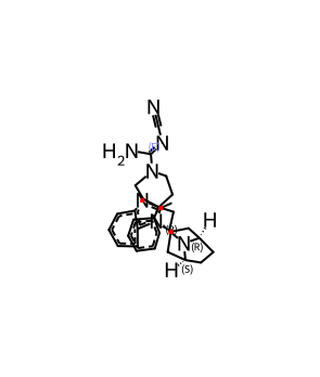 Cc1nc2ccccc2n1[C@H]1C[C@H]2CC[C@@H](C1)N2CCC1(c2ccccc2)CCN(/C(N)=N/C#N)CC1